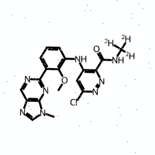 [2H]C([2H])([2H])NC(=O)c1nnc(Cl)cc1Nc1cccc(-c2ncc3ncn(C)c3n2)c1OC